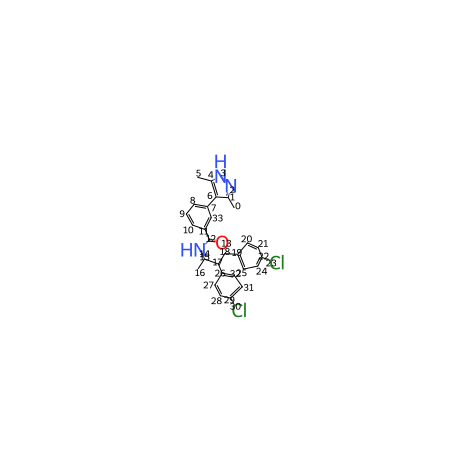 Cc1n[nH]c(C)c1-c1cccc(C(=O)NC(C)C(Cc2ccc(Cl)cc2)c2ccc(Cl)cc2)c1